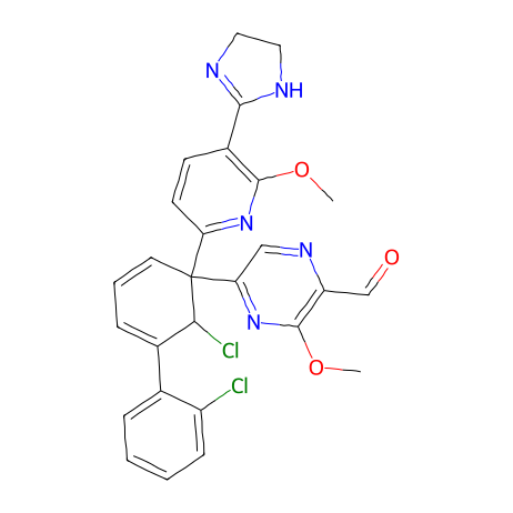 COc1nc(C2(c3cnc(C=O)c(OC)n3)C=CC=C(c3ccccc3Cl)C2Cl)ccc1C1=NCCN1